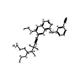 C#Cc1cccc(Nc2ncnc3cc(OCC)c(C#CC(C)(C)N(C)C(CCC)CCN)cc23)c1